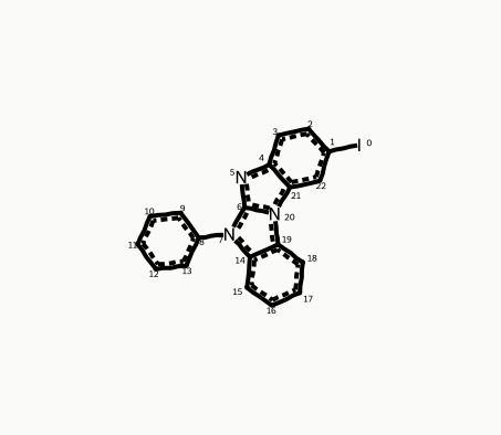 Ic1ccc2nc3n(-c4ccccc4)c4ccccc4n3c2c1